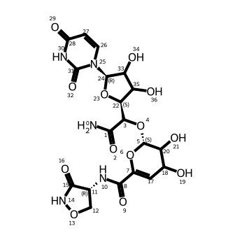 NC(=O)C(O[C@H]1OC(C(=O)N[C@@H]2CONC2=O)=CC(O)C1O)[C@H]1O[C@@H](n2ccc(=O)[nH]c2=O)C(O)C1O